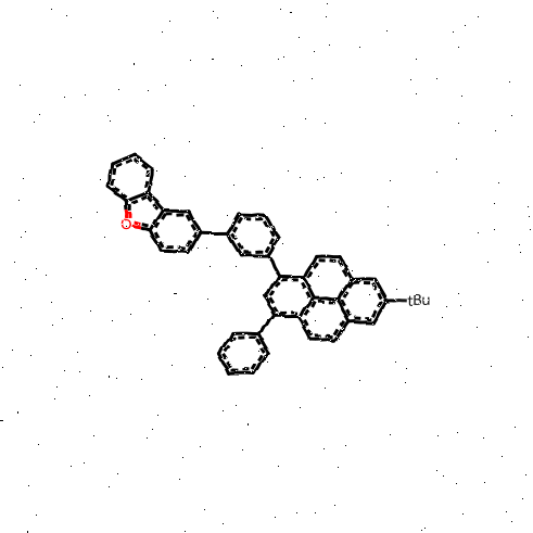 CC(C)(C)c1cc2ccc3c(-c4ccccc4)cc(-c4cccc(-c5ccc6oc7ccccc7c6c5)c4)c4ccc(c1)c2c34